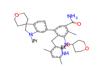 CCN(c1c(C)c(C(N)=O)cc(-c2ccc3c(c2)N(C(C)C)CC32CCOCC2)c1Cc1c(C)cc(C)[nH]c1=O)C1CCOCC1